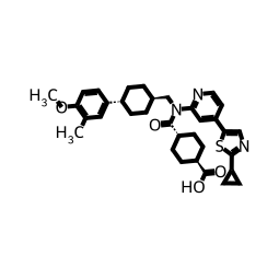 COc1ccc([C@H]2CC[C@H](CN(c3cc(-c4cnc(C5CC5)s4)ccn3)C(=O)[C@H]3CC[C@H](C(=O)O)CC3)CC2)cc1C